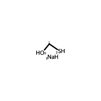 OCS.[NaH]